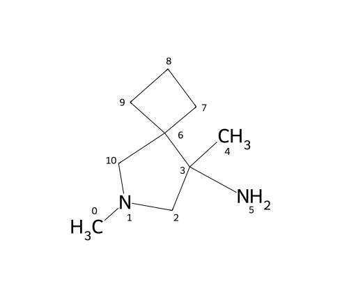 CN1CC(C)(N)C2(CCC2)C1